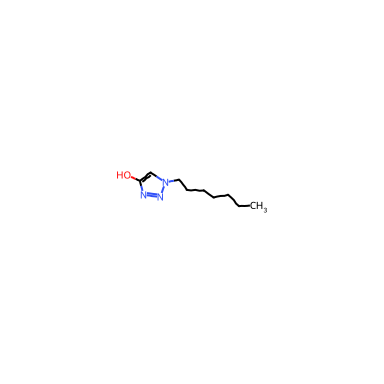 CCCCCCCn1cc(O)nn1